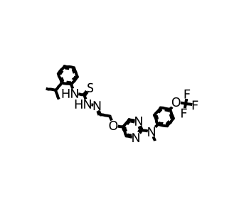 CC(C)c1ccccc1NC(=S)N/N=C/COc1cnc(N(C)c2ccc(OC(F)(F)F)cc2)nc1